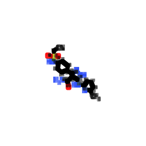 N#CCS(=O)(=O)Nc1ccc(-c2n[nH]c(Nc3cccc(C(F)(F)F)n3)c2C(N)=O)cc1